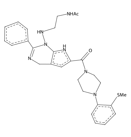 CSc1ccccc1N1CCN(C(=O)c2cc3c([nH]2)N(NCCNC(C)=O)C(c2ccccc2)=NC3)CC1